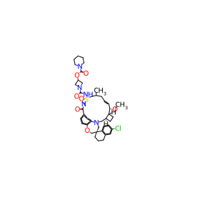 CO[C@H]1/C=C/C[C@H](C)C[S@@](=O)(NC(=O)N2CC(OC(=O)N3CCCCC3)C2)=NC(=O)c2ccc3c(c2)N(C[C@@H]2CC[C@H]21)C[C@@]1(CCCc2cc(Cl)ccc21)CO3